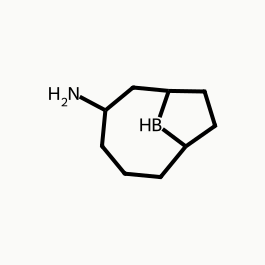 NC1CCCC2BC(CC2)C1